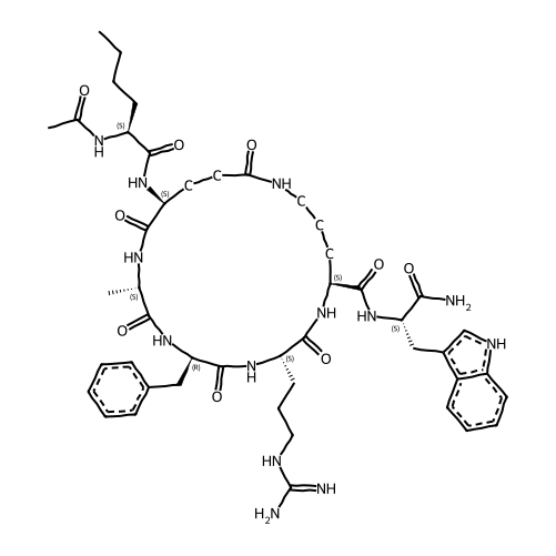 CCCC[C@H](NC(C)=O)C(=O)N[C@H]1CCC(=O)NCCC[C@@H](C(=O)N[C@@H](Cc2c[nH]c3ccccc23)C(N)=O)NC(=O)[C@H](CCCNC(=N)N)NC(=O)[C@@H](Cc2ccccc2)NC(=O)[C@H](C)NC1=O